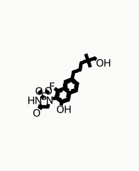 CC(C)(CO)CCCc1ccc2cc(O)c(N3CC(=O)NS3(=O)=O)c(F)c2c1